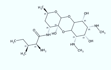 CC[C@H](C)[C@H](N)C(=O)N[C@@H]1C[C@@H](C)OC2OC3C(O[C@]21O)[C@@H](NC)[C@@H](O)[C@@H](NC)[C@H]3O